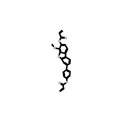 C=CC(=O)Oc1ccc(-c2ccc3c(c2)oc2c(OC)c(OC(=O)C=C)ccc23)cc1